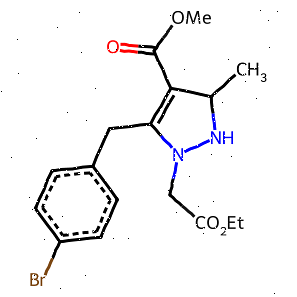 CCOC(=O)CN1NC(C)C(C(=O)OC)=C1Cc1ccc(Br)cc1